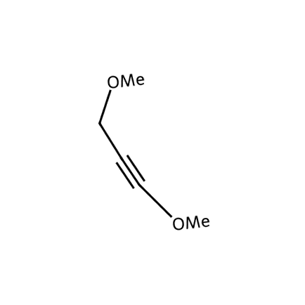 COC#CCOC